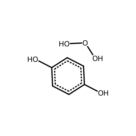 OOO.Oc1ccc(O)cc1